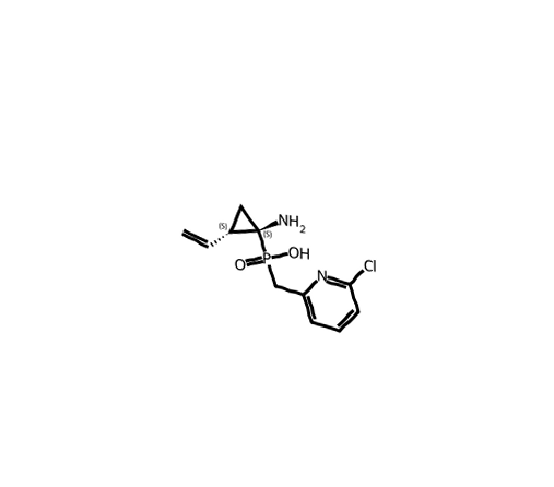 C=C[C@@H]1C[C@]1(N)P(=O)(O)Cc1cccc(Cl)n1